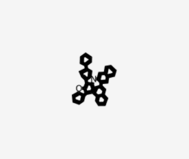 c1ccc(-c2ccc3c4c5oc6ccccc6c5ccc4n(-c4cc5ccccc5cc4-c4ccc5ccccc5c4)c3c2)cc1